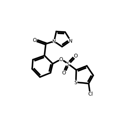 O=C(c1ccccc1OS(=O)(=O)c1ccc(Cl)s1)n1ccnc1